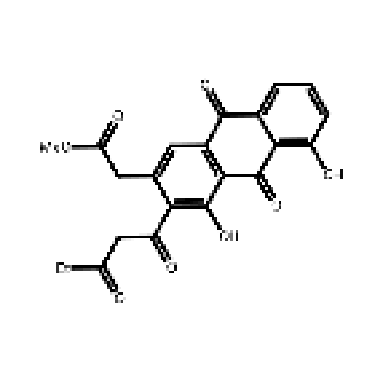 CCC(=O)CC(=O)c1c(CC(=O)OC)cc2c(c1O)C(=O)c1c(O)cccc1C2=O